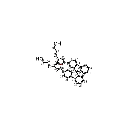 OCCOc1ccc(-c2ccc3c(c2)C2(c4ccccc4-3)c3ccccc3-c3ccc(-c4ccc(OCCO)s4)cc32)s1